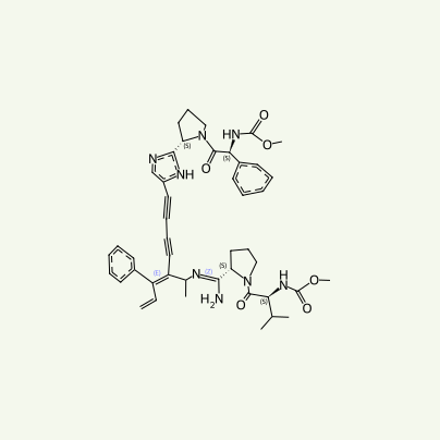 C=C/C(=C(/C#CC#Cc1cnc([C@@H]2CCCN2C(=O)[C@@H](NC(=O)OC)c2ccccc2)[nH]1)C(C)/N=C(\N)[C@@H]1CCCN1C(=O)[C@@H](NC(=O)OC)C(C)C)c1ccccc1